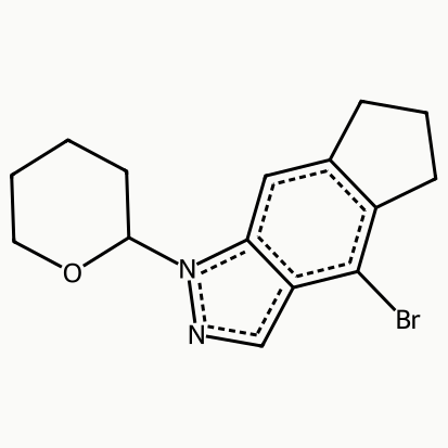 Brc1c2c(cc3c1cnn3C1CCCCO1)CCC2